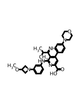 COC1CN(c2cccc(Nc3nc(C(=O)O)cc(-c4ccc(N5CCOCC5)cc4)c3C(=N)C(C)C)c2)C1